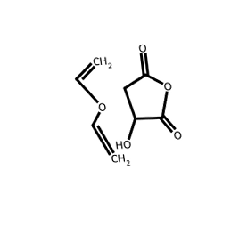 C=COC=C.O=C1CC(O)C(=O)O1